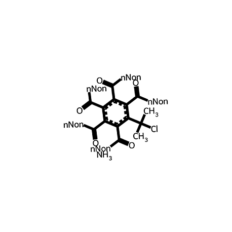 CCCCCCCCCC(=O)c1c(C(=O)CCCCCCCCC)c(C(=O)CCCCCCCCC)c(C(C)(C)Cl)c(C(=O)CCCCCCCCC)c1C(=O)CCCCCCCCC.N